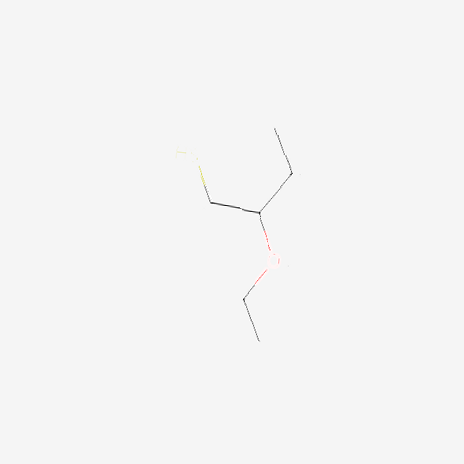 CCOC(CC)CS